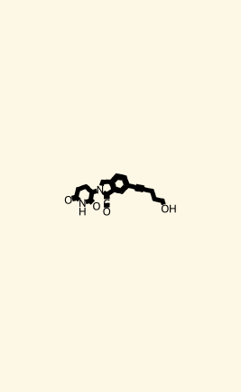 O=C=C1c2cc(C#CCCCO)ccc2CN1C1CCC(=O)NC1=O